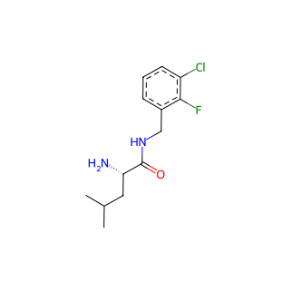 CC(C)C[C@H](N)C(=O)NCc1cccc(Cl)c1F